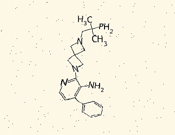 CC(C)(P)CN1CC2(C1)CN(c1nccc(-c3ccccc3)c1N)C2